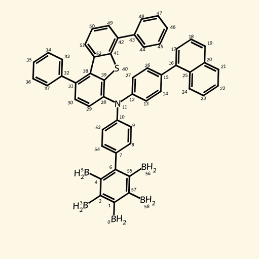 Bc1c(B)c(B)c(-c2ccc(N(c3ccc(-c4cccc5ccccc45)cc3)c3ccc(-c4ccccc4)c4c3sc3c(-c5ccccc5)cccc34)cc2)c(B)c1B